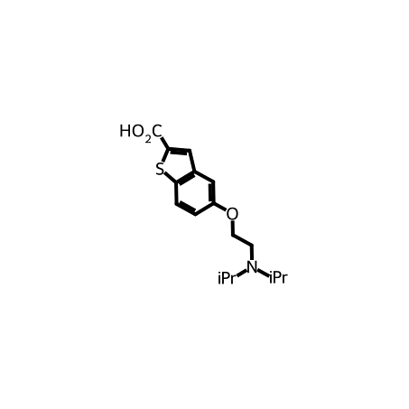 CC(C)N(CCOc1ccc2sc(C(=O)O)cc2c1)C(C)C